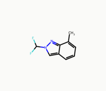 Cc1cccc2cn(C(F)F)nc12